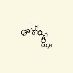 O=C(Nc1ccc(C(=O)N2CCC(C(=O)O)CC2)cc1)NC12CC3CCCC(C1)C(C3)C2